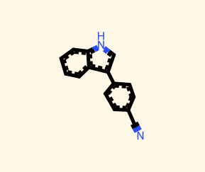 N#Cc1ccc(-c2c[nH]c3ccccc23)cc1